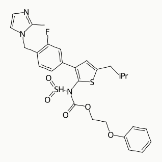 Cc1nccn1Cc1ccc(-c2cc(CC(C)C)sc2N(C(=O)OCCOc2ccccc2)[SH](=O)=O)cc1F